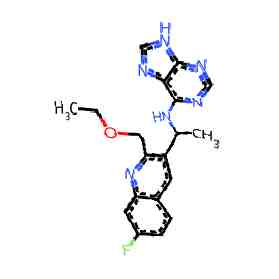 CCOCc1nc2cc(F)ccc2cc1C(C)Nc1ncnc2[nH]cnc12